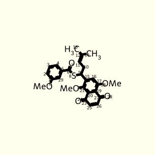 COc1cccc(C(=O)SC(CC=C(C)C)c2cc(OC)c3c(c2OC)C(=O)C=CC3=O)c1